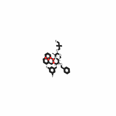 C[C@H]1[C@H](OCC(C)(C)CF)OC[C@H]([C@@H](OCc2ccccc2)[C@H](Cc2cc(F)cc(F)c2)N(Cc2ccccc2)Cc2ccccc2)N1C(=O)OC(C)(C)C